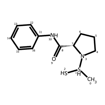 C[SH](S)N1CCC[C@H]1C(=O)Nc1ccccc1